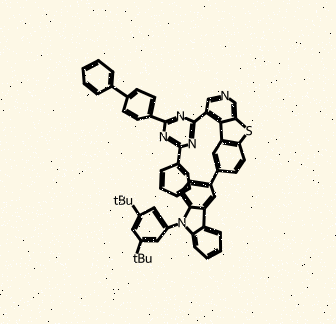 CC(C)(C)c1cc(-n2c3ccccc3c3cc(-c4ccc5sc6cncc(-c7nc(-c8ccccc8)nc(-c8ccc(-c9ccccc9)cc8)n7)c6c5c4)ccc32)cc(C(C)(C)C)c1